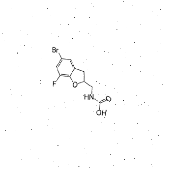 O=C(O)NCC1Cc2cc(Br)cc(F)c2O1